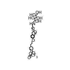 O=C(Cc1ccc(OCCCC2CCN(C(=O)OC3(C(F)(F)F)COC3)CC2)cc1F)N1CC(CNC[C@H](O)[C@@H](O)[C@H](O)[C@H](O)CO)C1